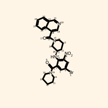 O=C(c1cc(Br)cc([N+](=O)[O-])c1N[C@@H]1CCCN(C(=O)c2cncc3ccccc23)C1)N1CCCCC1